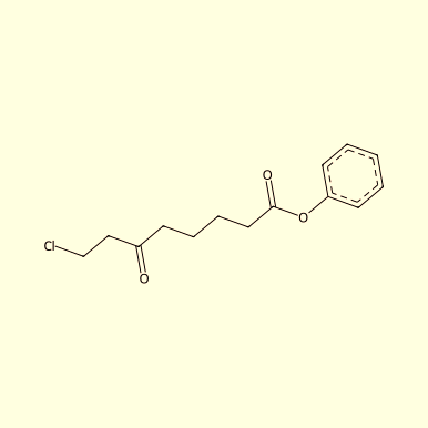 O=C(CCCl)CCCCC(=O)Oc1ccccc1